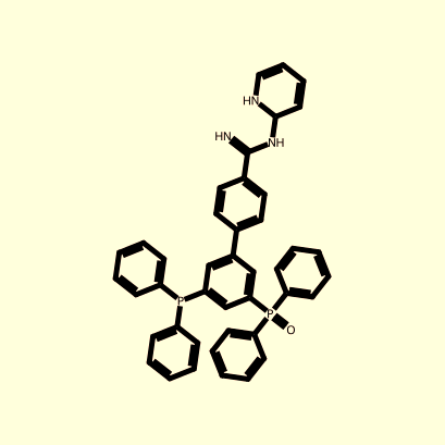 N=C(NC1C=CC=CN1)c1ccc(-c2cc(P(c3ccccc3)c3ccccc3)cc(P(=O)(c3ccccc3)c3ccccc3)c2)cc1